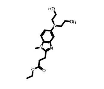 CCOC(=O)CCc1nc2cc(N(CCO)CCO)ccc2n1C